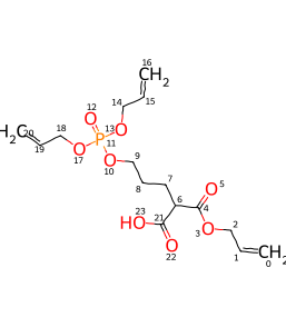 C=CCOC(=O)C(CCCOP(=O)(OCC=C)OCC=C)C(=O)O